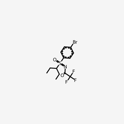 CCC(CC)S(=O)(=NC(=O)C(F)(F)F)c1ccc(Br)cc1